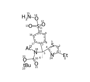 CCc1csc([C@](C)(c2ccc(S(=O)(=O)ON)cc2)N(C(C)=O)C(=O)OC(C)(C)C)n1